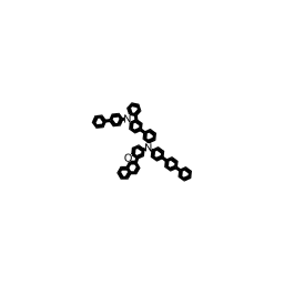 c1ccc(-c2ccc(-c3ccc(N(c4cccc(-c5ccc6c(c5)c5ccccc5n6-c5ccc(-c6ccccc6)cc5)c4)c4ccc5oc6c7ccccc7ccc6c5c4)cc3)cc2)cc1